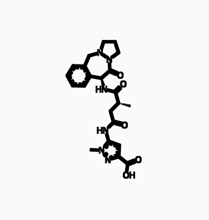 C[C@H](CC(=O)Nc1cc(C(=O)O)nn1C)C(=O)N[C@@H]1C(=O)N2CCCN2Cc2ccccc21